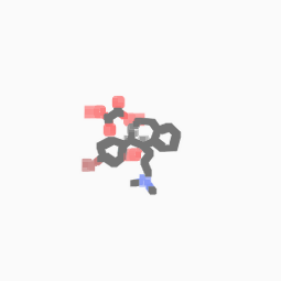 CN(C)CCC[C@]1(O)c2ccccc2CCC[C@@H]1c1ccc(Br)cc1.O=C(O)C(=O)O